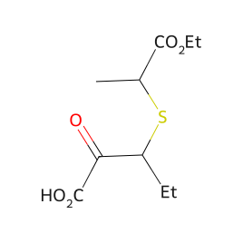 CCOC(=O)C(C)SC(CC)C(=O)C(=O)O